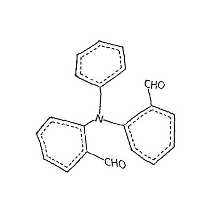 O=Cc1ccccc1N(c1ccccc1)c1ccccc1C=O